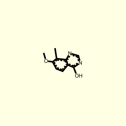 COc1ccc2c(O)ncnc2c1C